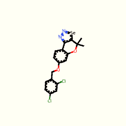 CC1(C)Oc2cc(OCc3ccc(Cl)cc3Cl)ccc2-c2nn[se]c21